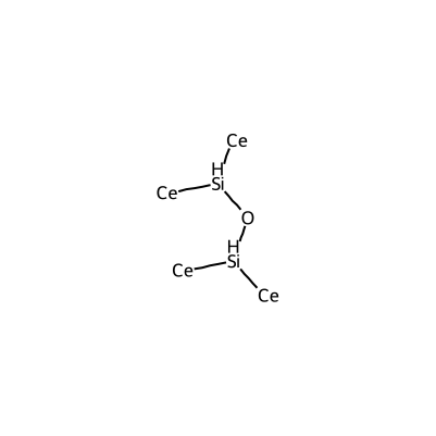 [Ce][SiH]([Ce])O[SiH]([Ce])[Ce]